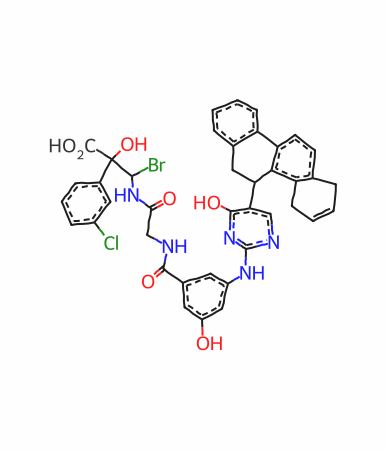 O=C(CNC(=O)c1cc(O)cc(Nc2ncc(C3Cc4ccccc4-c4ccc5c(c43)CC=CC5)c(O)n2)c1)NC(Br)C(O)(C(=O)O)c1cccc(Cl)c1